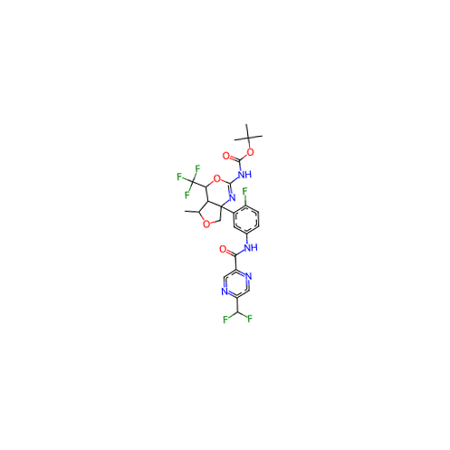 CC1OCC2(c3cc(NC(=O)c4cnc(C(F)F)cn4)ccc3F)N=C(NC(=O)OC(C)(C)C)OC(C(F)(F)F)C12